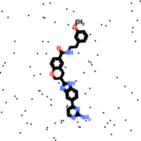 COc1cccc(CCNC(=O)c2ccc3c(c2)CC(c2nc4cc(-c5ccnc(N)n5)ccc4[nH]2)CO3)c1